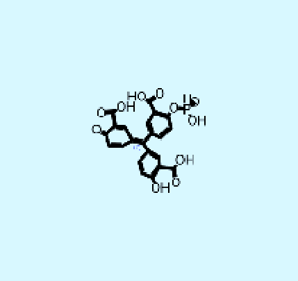 O=C(O)C1=C/C(=C(/c2ccc(O)c(C(=O)O)c2)c2ccc(O[PH](=O)O)c(C(=O)O)c2)C=CC1=O